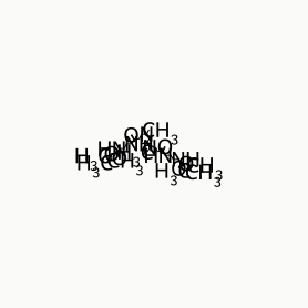 CN(CCC(=O)NCCNC(=O)OC(C)(C)C)CCN(C)CCC(=O)NCCNC(=O)OC(C)(C)C